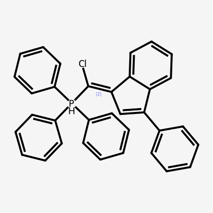 Cl/C(=C1/C=C(c2ccccc2)c2ccccc21)[PH](c1ccccc1)(c1ccccc1)c1ccccc1